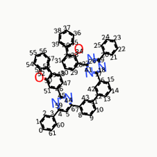 c1ccc(-c2cc(-c3cccc(-c4cccc(-c5nc(-c6ccccc6)nc(-c6cccc7c6oc6ccccc67)n5)c4)c3)nc(-c3ccc4c(c3)oc3ccccc34)n2)cc1